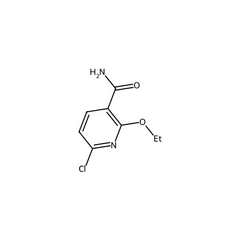 CCOc1nc(Cl)ccc1C(N)=O